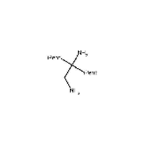 CCCC(C)C(N)(CN)C(C)CCC